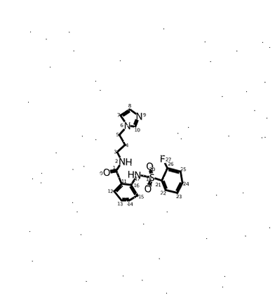 O=C(NCCCn1ccnc1)c1ccccc1NS(=O)(=O)c1ccccc1F